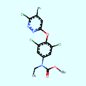 CC(C)c1cc(Oc2c(Cl)cc(N(CC#N)C(=O)OC(C)(C)C)cc2Cl)nnc1Cl